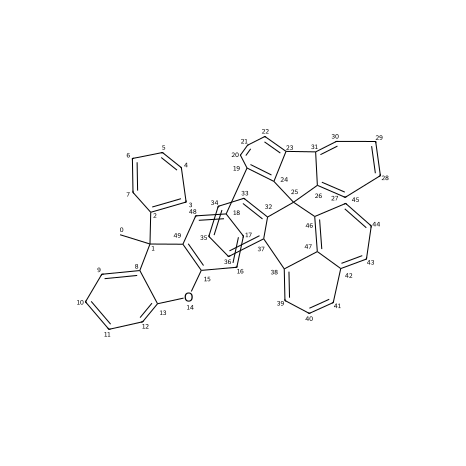 CC1(c2ccccc2)c2ccccc2Oc2ccc(-c3cccc4c3C3(c5ccccc5-4)c4ccccc4-c4cccc5cccc3c45)cc21